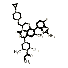 C=CC(=O)N1[C@H](C)CN(c2nc(=O)n3c4c(c(-c5ccc(F)c6sc(N)nc56)c(C(F)(F)F)cc24)SCC3CN2CCN(C3CC3)CC2)C[C@@H]1C